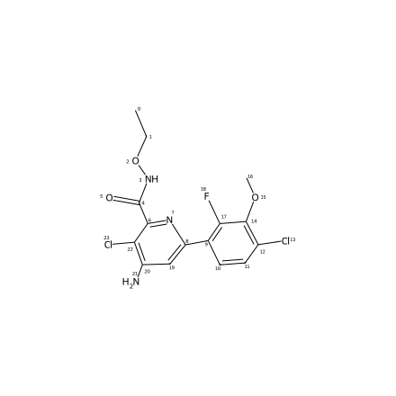 CCONC(=O)c1nc(-c2ccc(Cl)c(OC)c2F)cc(N)c1Cl